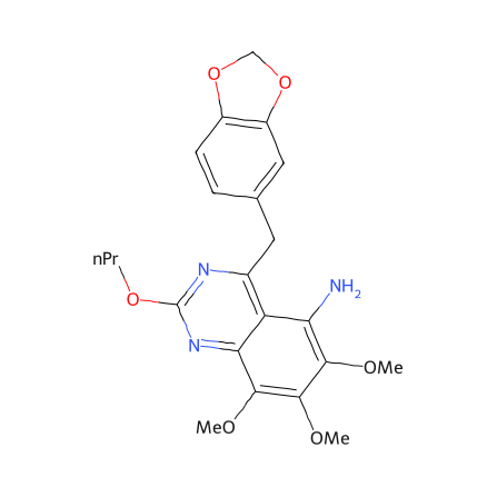 CCCOc1nc(Cc2ccc3c(c2)OCO3)c2c(N)c(OC)c(OC)c(OC)c2n1